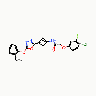 Cc1ccccc1Oc1nnc(C23CC(NC(=O)COc4ccc(Cl)c(F)c4)(C2)C3)o1